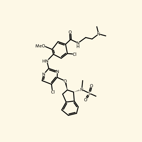 COc1cc(C(=O)NCCN(C)C)c(Cl)cc1Nc1ncc(Cl)c(O[C@@H]2Cc3ccccc3[C@H]2N(C)S(C)(=O)=O)n1